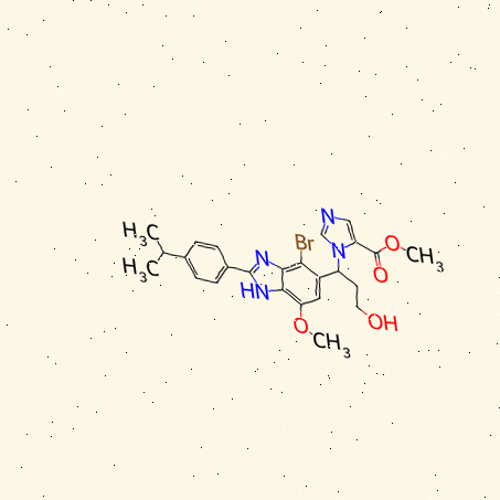 COC(=O)c1cncn1C(CCO)c1cc(OC)c2[nH]c(-c3ccc(C(C)C)cc3)nc2c1Br